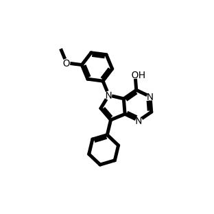 COc1cccc(-n2cc(C3=CCCCC3)c3ncnc(O)c32)c1